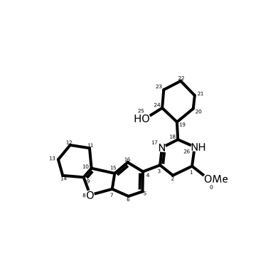 COC1CC(C2=CCC3OC4=C(CCCC4)C3=C2)=NC(C2CCCCC2O)N1